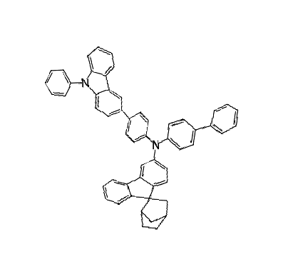 c1ccc(-c2ccc(N(c3ccc(-c4ccc5c(c4)c4ccccc4n5-c4ccccc4)cc3)c3ccc4c(c3)-c3ccccc3C43CC4CCC3C4)cc2)cc1